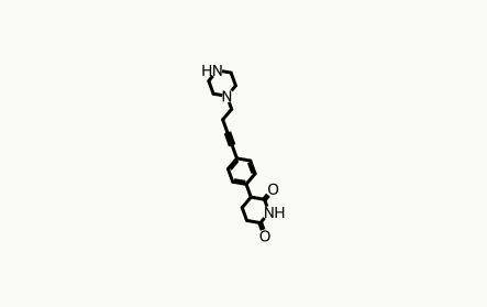 O=C1CCC(c2ccc(C#CCCN3CCNCC3)cc2)C(=O)N1